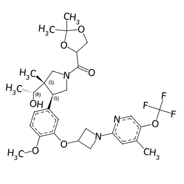 COc1ccc([C@@H]2CN(C(=O)C3COC(C)(C)O3)C[C@@]2(C)[C@@H](C)O)cc1OC1CN(c2cc(C)c(OC(F)(F)F)cn2)C1